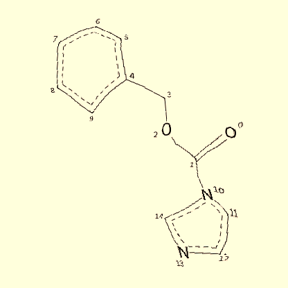 O=C(OCc1ccccc1)n1c[c]nc1